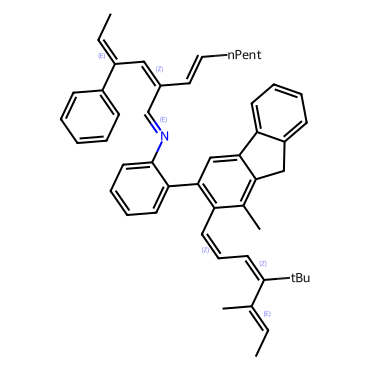 C/C=C(C)/C(=C\C=C/c1c(-c2ccccc2/N=C/C(C=CCCCCC)=C\C(=C/C)c2ccccc2)cc2c(c1C)Cc1ccccc1-2)C(C)(C)C